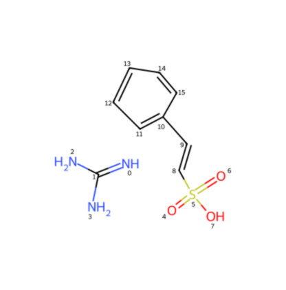 N=C(N)N.O=S(=O)(O)C=Cc1ccccc1